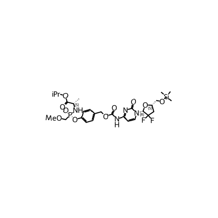 COCP(=O)(N[C@@H](C)C(=O)OC(C)C)Oc1ccc(COC(=O)Nc2ccn([C@@H]3O[C@H](CO[Si](C)(C)C)CC3(F)F)c(=O)n2)cc1